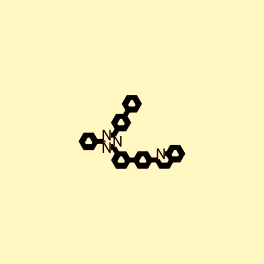 c1ccc(-c2ccc(-c3nc(-c4ccccc4)nc(-c4cccc(-c5ccc(-c6ccc7ccccc7n6)cc5)c4)n3)cc2)cc1